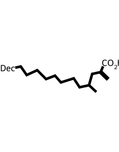 C=C(CC(C)CCCCCCCCCCCCCCCCCC)C(=O)O